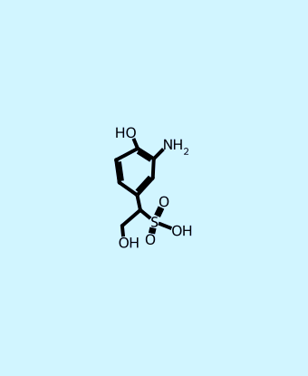 Nc1cc(C(CO)S(=O)(=O)O)ccc1O